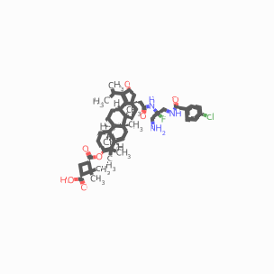 CC(C)C1=C2[C@H]3CC[C@@H]4[C@@]5(C)CC[C@H](OC(=O)[C@H]6C[C@@H](C(=O)O)C6(C)C)C(C)(C)[C@@H]5CC[C@@]4(C)[C@]3(C)CC[C@@]2(CC(=O)NC(F)(CN)CNC(=O)c2ccc(Cl)cc2)CC1=O